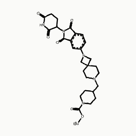 CC(C)(C)OC(=O)N1CCC(CN2CCC3(CC2)CN(c2ccc4c(c2)C(=O)N(C2CCC(=O)NC2=O)C4=O)C3)CC1